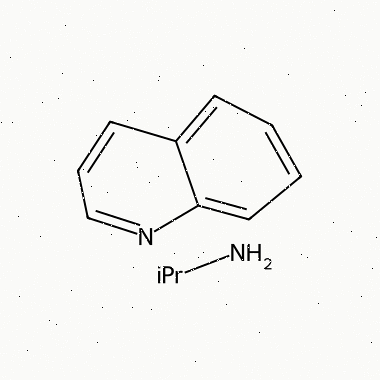 CC(C)N.c1ccc2ncccc2c1